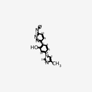 Cc1cn(-c2ccc(-c3ccc(N=O)nn3)c(O)c2)cn1